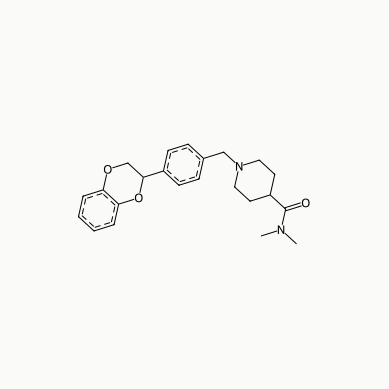 CN(C)C(=O)C1CCN(Cc2ccc(C3COc4ccccc4O3)cc2)CC1